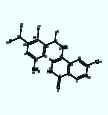 CC(Nc1n[nH]c(=O)c2cnc(Cl)cc12)c1cc(N)cc(C(F)F)c1F